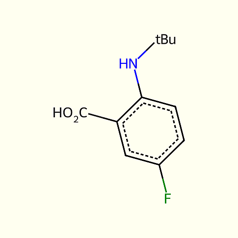 CC(C)(C)Nc1ccc(F)cc1C(=O)O